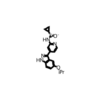 CC(C)Oc1ccc2[nH]nc(-c3ccnc(N[S+]([O-])C4CC4)c3)c2c1